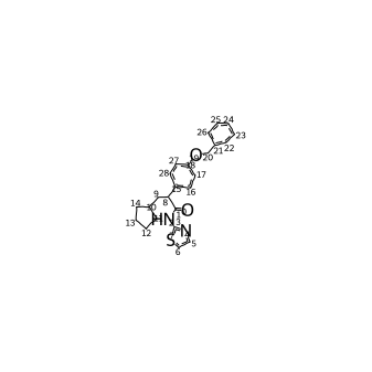 O=C(Nc1nccs1)C(CC1CCCC1)c1ccc(OCc2ccccc2)cc1